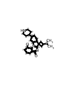 CN(C)C1CC2(C1)c1ccc(C3CCNCC3)cc1-n1c2nc(=O)c2cccc(Cl)c21